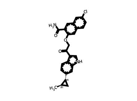 C[C@@H]1C[C@H]1c1ccc2c(C(=O)COc3cc4ccc(Cl)cc4cc3C(N)=O)c[nH]c2c1